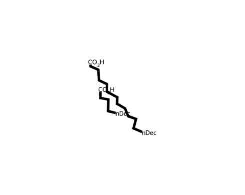 CCCCCCCCCCCCCC(=O)O.CCCCCCCCCCCCCCCCCCCCCC(=O)O